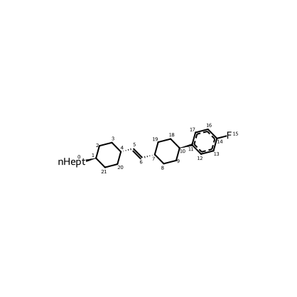 CCCCCCC[C@H]1CC[C@H](/C=C/[C@H]2CC[C@H](c3ccc(F)cc3)CC2)CC1